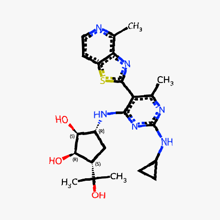 Cc1nc(NC2CC2)nc(N[C@@H]2C[C@H](C(C)(C)O)[C@@H](O)[C@H]2O)c1-c1nc2c(C)nccc2s1